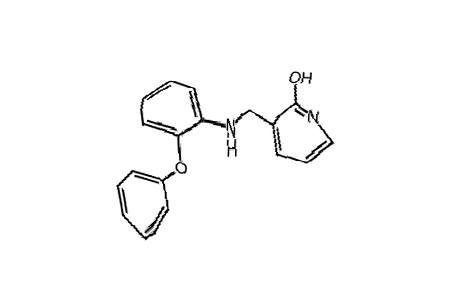 Oc1ncccc1CNc1ccccc1Oc1ccccc1